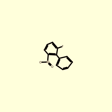 O=[N+]([O-])c1[c]ccc(F)c1-c1ccccc1